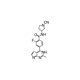 Cc1nc2nccc-2c(-c2ccc(C(=O)NC3CCN(C#N)C3)c(F)c2)[nH]1